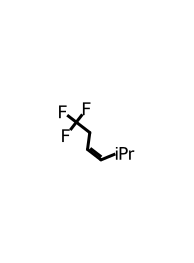 CC(C)/C=C\CC(F)(F)F